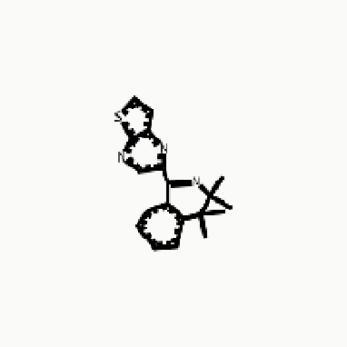 CC1(C)N=C(c2cnc3sccc3n2)c2ccccc2C1(C)C